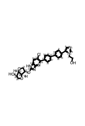 OCCn1cncc1-c1ccc(-c2ccc(-c3nc4nc(O[C@@H]5CO[C@H]6[C@@H]5OC[C@H]6O)[nH]c4cc3Cl)cc2)cc1